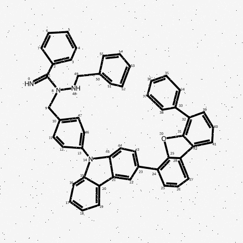 N=C(c1ccccc1)N(Cc1ccc(-n2c3ccccc3c3cc(-c4cccc5c4oc4c(-c6ccccc6)cccc45)ccc32)cc1)NCc1ccccc1